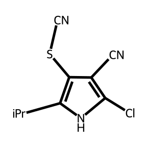 CC(C)c1[nH]c(Cl)c(C#N)c1SC#N